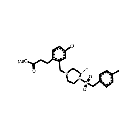 COC(=O)CCc1ccc(Cl)cc1CN1CCN(S(=O)(=O)Cc2ccc(C)cc2)[C@@H](C)C1